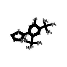 CC(C)(C)c1cc(C(C)(C)C)c(-c2nccs2)cc1Cl